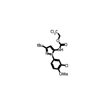 COc1ccc(-n2nc(C(C)(C)C)cc2NC(=O)OCC(Cl)(Cl)Cl)cc1Cl